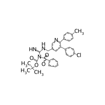 Cc1ccc(-c2ncc(CNC(=N)N(C(=O)OC(C)(C)C)S(=O)(=O)c3ccccc3)cc2-c2ccc(Cl)cc2)cc1